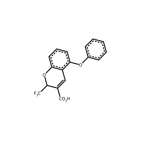 O=C(O)C1=Cc2c(Oc3ccccc3)cccc2OC1C(F)(F)F